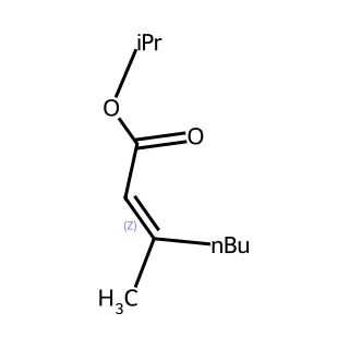 CCCC/C(C)=C\C(=O)OC(C)C